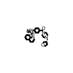 O=C(c1ccc(NS(=O)(=O)c2cccc3cccnc23)cc1)N1CCN(C[C@@H]2CCOC2)CC1